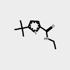 CCNC(=O)c1ccc(C(C)(C)C)s1